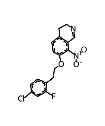 O=[N+]([O-])c1c(OCCc2ccc(Cl)cc2F)ccc2c1C=NCC2